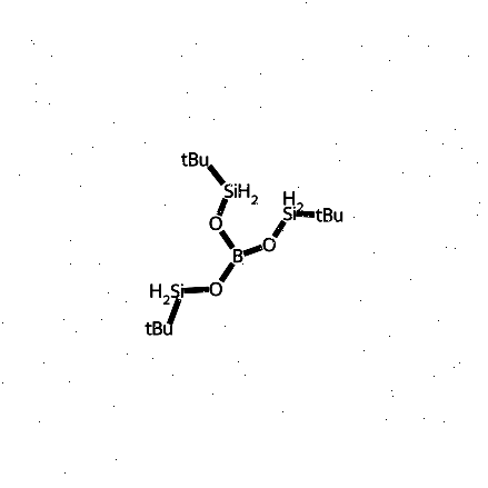 CC(C)(C)[SiH2]OB(O[SiH2]C(C)(C)C)O[SiH2]C(C)(C)C